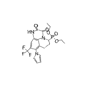 CCOP(=O)(OCC)C1CCc2c(-n3cccc3)c(C(F)(F)F)cc3[nH]c(=O)c(=O)n1c23